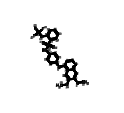 COc1cc2nccc(Oc3ccc(NS(=O)(=O)c4ccccc4OC(F)(F)F)cc3)c2cc1OC